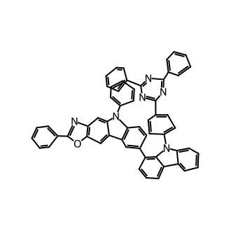 c1ccc(-c2nc(-c3ccccc3)nc(-c3ccc(-n4c5ccccc5c5cccc(-c6ccc7c(c6)c6cc8oc(-c9ccccc9)nc8cc6n7-c6ccccc6)c54)cc3)n2)cc1